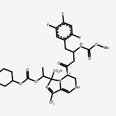 [CH2]C(OC(=O)OC1CCCCC1)C1(C(=O)O)N=C(C(F)(F)F)C2=CNC[C@H](C(=O)CC(Cc3cc(F)c(F)cc3F)NC(=O)OC(C)(C)C)N21